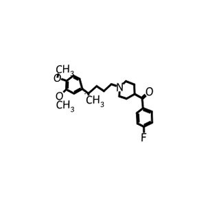 COc1ccc([C](C)CCCN2CCC(C(=O)c3ccc(F)cc3)CC2)cc1OC